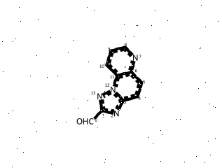 O=Cc1nc2ccc3ncccc3n2n1